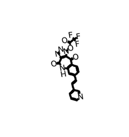 O=C(On1nnc2c(=O)[nH]c3cc(C=Cc4cccnc4)ccc3c(=O)c21)C(F)(F)F